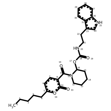 CCCCCc1ccc(C(=O)N2CCCCC2OC(=O)NCCc2c[nH]c3ccccc23)c(=O)o1